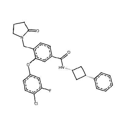 O=C(N[C@H]1C[C@@H](c2ccccc2)C1)c1ccc(CN2CCCC2=O)c(Oc2ccc(Cl)c(F)c2)c1